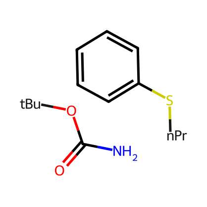 CC(C)(C)OC(N)=O.CCCSc1ccccc1